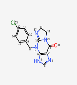 O=C1c2nc[nH]c2N(Cc2ccc(Cl)cc2)C2=NCCN12